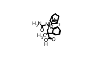 CN1C2CCC1CC([N+]1(NC(N)=O)CC(C)(C(=O)O)c3ccccc31)C2